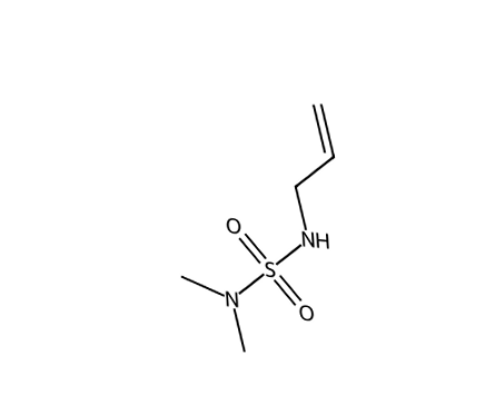 C=CCNS(=O)(=O)N(C)C